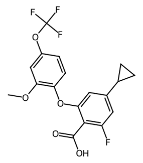 COc1cc(OC(F)(F)F)ccc1Oc1cc(C2CC2)cc(F)c1C(=O)O